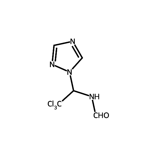 O=CNC(n1cncn1)C(Cl)(Cl)Cl